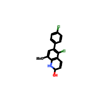 COc1cc(-c2ccc(Cl)cc2)c(Cl)c2c1NC(O)C=C2